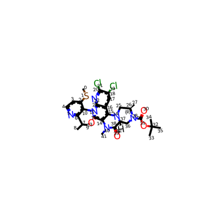 CSc1ccnc(C(C)C)c1-n1c(=O)c2c(c3cc(Cl)c(Cl)nc31)N1C[C@@H](C)N(C(=O)OC(C)(C)C)C[C@@H]1C(=O)N2C